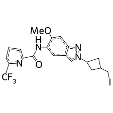 COc1cc2nn(C3CC(CI)C3)cc2cc1NC(=O)c1cccc(C(F)(F)F)n1